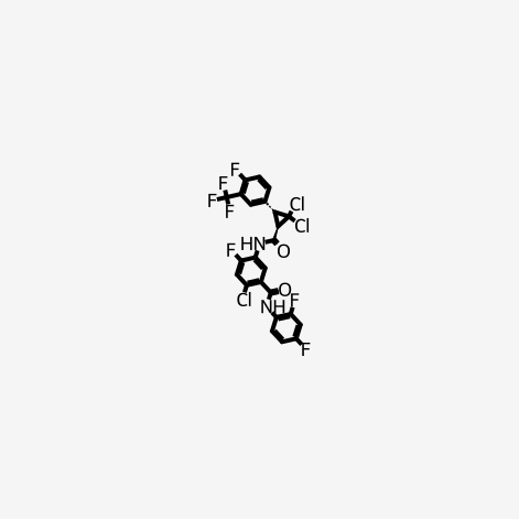 O=C(Nc1ccc(F)cc1F)c1cc(NC(=O)[C@H]2[C@H](c3ccc(F)c(C(F)(F)F)c3)C2(Cl)Cl)c(F)cc1Cl